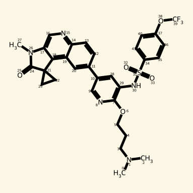 CN(C)CCCOc1ncc(-c2ccc3ncc4c(c3c2)C2(CC2)C(=O)N4C)cc1NS(=O)(=O)c1ccc(OC(F)(F)F)cc1